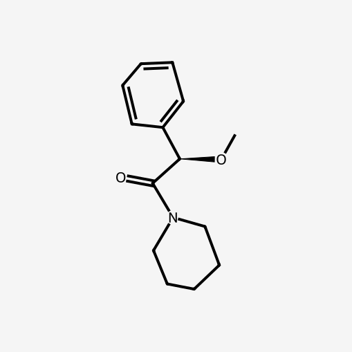 CO[C@@H](C(=O)N1CCCCC1)c1ccccc1